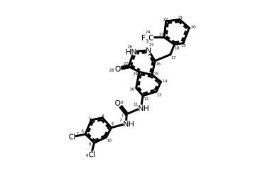 O=C(Nc1ccc(Cl)c(Cl)c1)Nc1ccc2c(Cc3ccccc3C(F)(F)F)n[nH]c(=O)c2c1